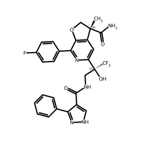 C[C@]1(C(N)=O)COc2c1cc([C@@](O)(CNC(=O)c1c[nH]nc1-c1ccccc1)C(F)(F)F)nc2-c1ccc(F)cc1